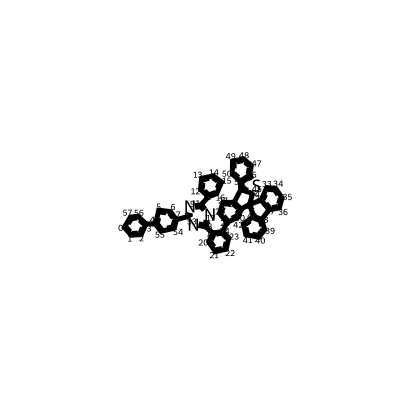 c1ccc(-c2ccc(-c3nc(-c4ccccc4)nc(-c4ccccc4-c4ccc5c(c4)C4(c6ccccc6-c6ccccc64)c4sc6ccccc6c4-5)n3)cc2)cc1